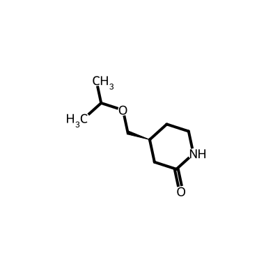 CC(C)OC[C@H]1CCNC(=O)C1